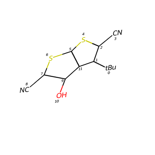 CC(C)(C)C1C(C#N)SC2SC(C#N)C(O)C21